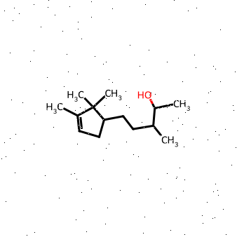 CC1=CCC(CCC(C)C(C)O)C1(C)C